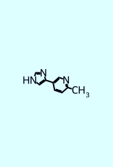 Cc1ccc(-c2c[nH]cn2)cn1